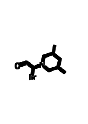 CC1CC(C)CN(C(Br)C=O)C1